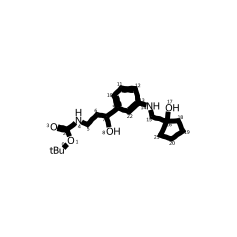 CC(C)(C)OC(=O)NCCC(O)c1cccc(NCC2(O)CCCC2)c1